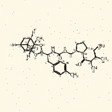 Cc1ccc(C[C@H](NC(=O)OC[C@H]2CCCN2C(=O)C(C#N)C(C)CC(C)(C)C)B2O[C@@H]3C[C@@H]4C[C@@H](C4(C)C)[C@]3(C)O2)cc1